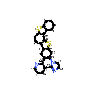 c1ccc2c(c1)sc1ccc3c4cc5c6ncccc6c6nccn6c5cc4sc3c12